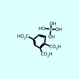 O=C(O)c1ccc(C(=O)O)c(C(=O)O)c1.[OH][Ti]([OH])([OH])[OH]